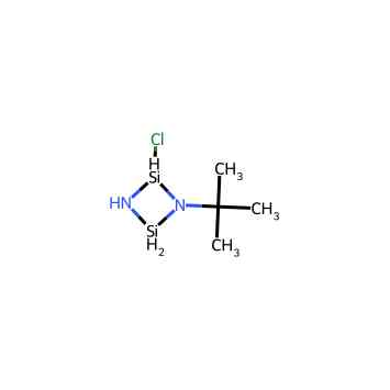 CC(C)(C)N1[SiH2]N[SiH]1Cl